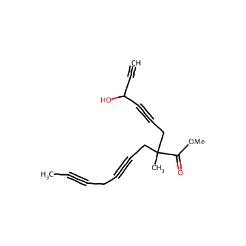 C#CC(O)C#CCC(C)(CC#CCC#CC)C(=O)OC